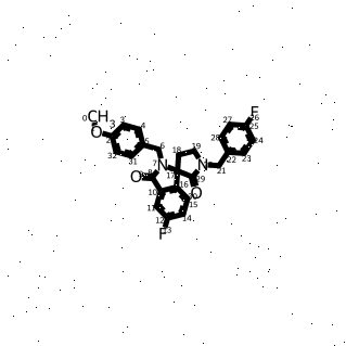 COc1ccc(CN2C(=O)c3cc(F)ccc3C23CCN(Cc2ccc(F)cc2)C3=O)cc1